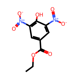 CCOC(=O)c1cc([N+](=O)[O-])c(O)c([N+](=O)[O-])c1